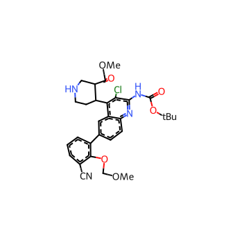 COCOc1c(C#N)cccc1-c1ccc2nc(NC(=O)OC(C)(C)C)c(Cl)c(C3CCNCC3C(=O)OC)c2c1